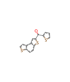 O=C(c1cccs1)c1cc2c(ccc3sccc32)s1